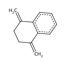 C=C1CCC(=C)c2ccccc21